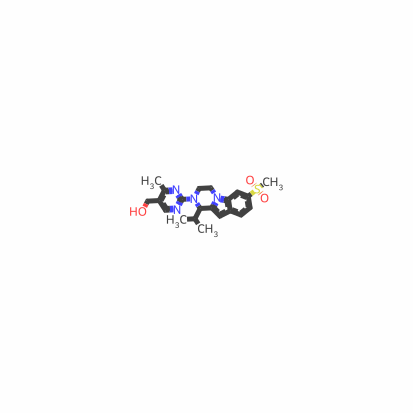 Cc1nc(N2CCn3c(cc4ccc(S(C)(=O)=O)cc43)C2C(C)C)ncc1CO